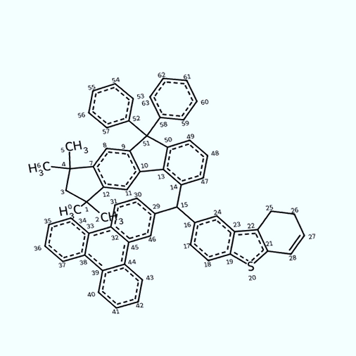 CC1(C)CC(C)(C)c2cc3c(cc21)-c1c(C(c2ccc4sc5c(c4c2)CCC=C5)c2ccc4c5ccccc5c5ccccc5c4c2)cccc1C3(c1ccccc1)c1ccccc1